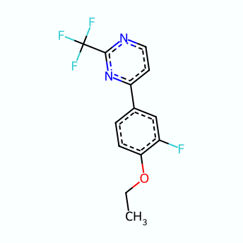 CCOc1ccc(-c2ccnc(C(F)(F)F)n2)cc1F